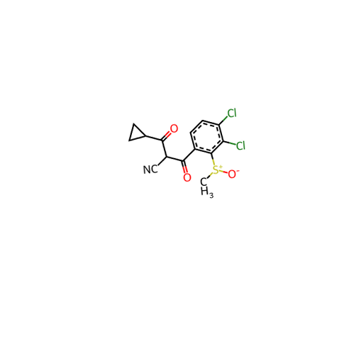 C[S+]([O-])c1c(C(=O)C(C#N)C(=O)C2CC2)ccc(Cl)c1Cl